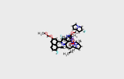 C#Cc1c(F)ccc2cc(OCOC)cc(-c3nc4c5c(nc(OC[C@@]67CCCN6C[C@H](F)C7)nc5c3F)N3C[C@H]5CC[C@@H]([C@@H]3[C@H](CC)C4)N5C(=O)OC(C)(C)C)c12